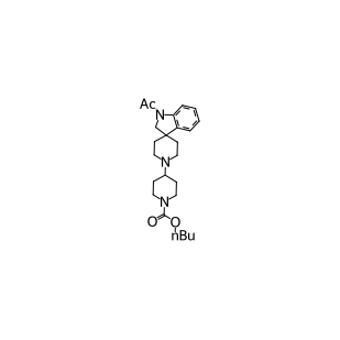 CCCCOC(=O)N1CCC(N2CCC3(CC2)CN(C(C)=O)c2ccccc23)CC1